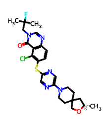 C[C@H]1CC2(CCN(c3cnc(Sc4ccc5ncn(CC(C)(C)F)c(=O)c5c4Cl)cn3)CC2)CO1